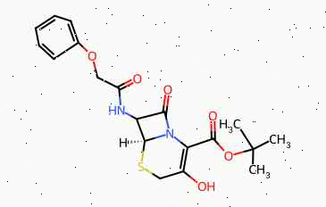 CC(C)(C)OC(=O)C1=C(O)CS[C@H]2C(NC(=O)COc3ccccc3)C(=O)N12